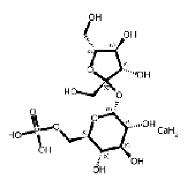 O=P(O)(O)OC[C@H]1O[C@H](O[C@]2(CO)O[C@H](CO)[C@@H](O)[C@@H]2O)[C@H](O)[C@@H](O)[C@@H]1O.[CaH2]